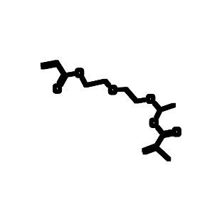 C=CC(=O)OCCOCCOC(C)OC(=O)C(=C)C